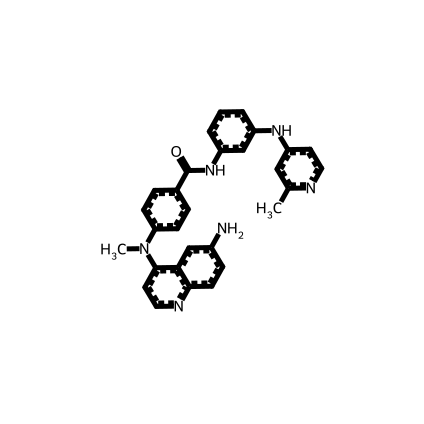 Cc1cc(Nc2cccc(NC(=O)c3ccc(N(C)c4ccnc5ccc(N)cc45)cc3)c2)ccn1